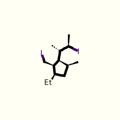 CC[C@@H]1C[C@H](C)[C@H]([C@H](C)[C@@H](C)I)[C@@H]1CI